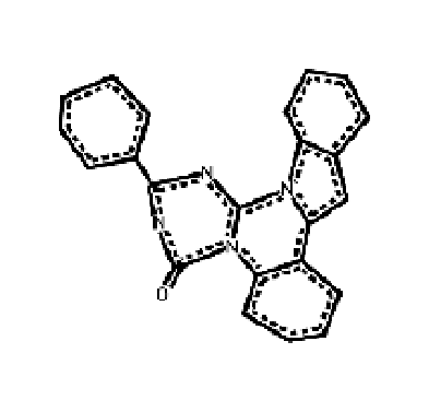 O=c1nc(-c2ccccc2)nc2n1c1ccccc1c1cc3ccccc3n12